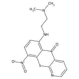 CN(C)CCNc1ccc([N+](=O)[O-])c2sc3ncccc3c(=O)c12